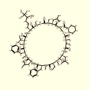 CC[C@H]1C(=O)N(C)[C@@H](Cc2ccccc2)C(=O)N[C@@H](CC(C)C)C(=O)N(C)[C@@H](Cc2ccccc2)C(=O)N(C)[C@@H](C(C)C)C(=O)N[C@@H](CCCC(O)C(F)(F)F)C(=O)N(C)CC(=O)N(C)[C@@H](CC(C)C)C(=O)N[C@H](C(=O)N2CCCCC2)CC(=O)N(C)[C@@H](C)C(=O)N[C@@H](CC(C)C)C(O)N1C